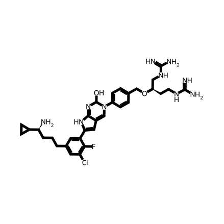 N=C(N)NCC[C@H](CNC(=N)N)OCc1ccc(N2C=c3cc(-c4cc(CCC[C@@H](N)C5CC5)cc(Cl)c4F)[nH]c3=NC2O)cc1